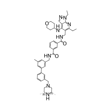 CCc1nc2c(cnn2CC)c(NC2CCOCC2)c1CNC(=O)c1cccc(C(=O)NCc2cc(C)cc(-c3cccc(CN4C[C@@H](C)N[C@@H](C)C4)c3)c2)c1